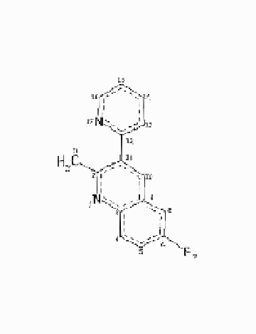 Cc1nc2ccc(F)cc2cc1-c1ccccn1